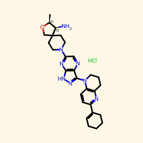 C[C@@H]1OCC2(CCN(c3cnc4c(N5CCCc6nc(C7=CCCCC7)ccc65)n[nH]c4n3)CC2)[C@@H]1N.Cl